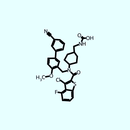 COc1ccc(-c2cccc(C#N)c2)cc1CN(C(=O)c1sc2cccc(F)c2c1Cl)C1CCC(CNC(=O)O)CC1